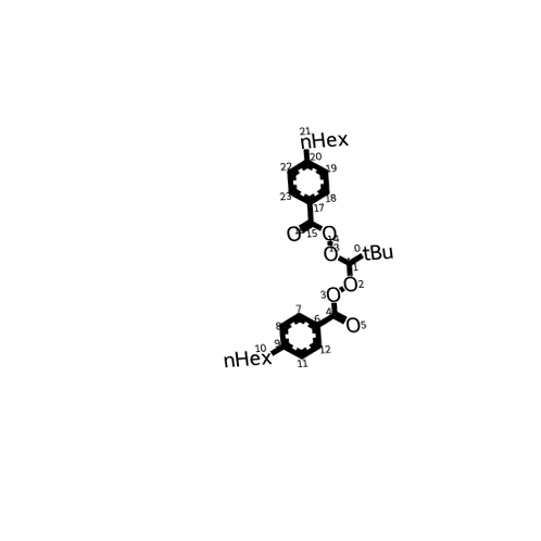 [CH2]C(C)(C)[C](OOC(=O)c1ccc(CCCCCC)cc1)OOC(=O)c1ccc(CCCCCC)cc1